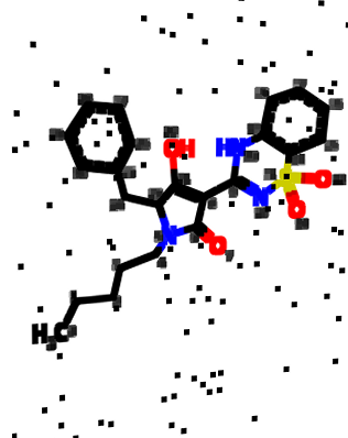 CCCCCN1C(=O)C(C2=NS(=O)(=O)c3ccccc3N2)=C(O)C1Cc1ccccc1